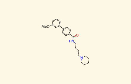 COc1cccc(-c2ccc(C(=O)NCCCCN3CCCCC3)cc2)c1